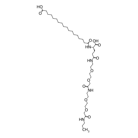 CCCNC(=O)COCCOCCNC(=O)COCCOCCNC(=O)CC[C@@H](NC(=O)CCCCCCCCCCCCCCCCC(=O)O)C(=O)O